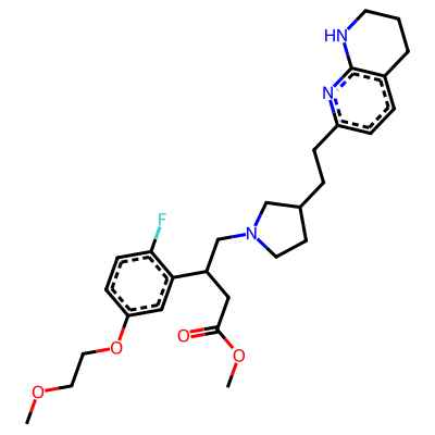 COCCOc1ccc(F)c(C(CC(=O)OC)CN2CCC(CCc3ccc4c(n3)NCCC4)C2)c1